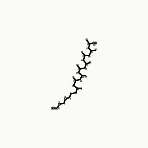 CCCCCCCCCCOCOCCCC(C)CC(C)CC(C)CC(C)CC(C)CC(C)CC(C)CC(C)O